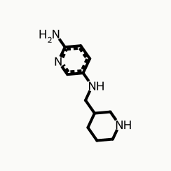 Nc1ccc(NCC2CCCNC2)cn1